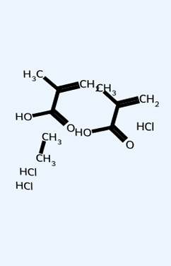 C=C(C)C(=O)O.C=C(C)C(=O)O.CC.Cl.Cl.Cl